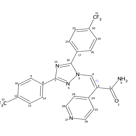 NC(=O)/C(=C/n1nc(-c2ccc(C(F)(F)F)cc2)nc1-c1ccc(C(F)(F)F)cc1)c1ccncc1